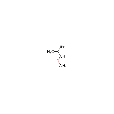 CC(C)[CH](C)[AlH][O][AlH2]